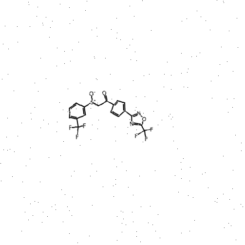 O=C(C[S+]([O-])c1cccc(C(F)(F)F)c1)c1ccc(-c2noc(C(F)(F)F)n2)cc1